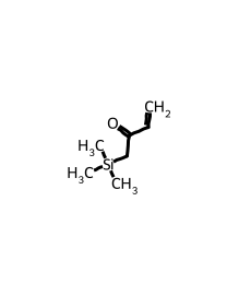 C=CC(=O)C[Si](C)(C)C